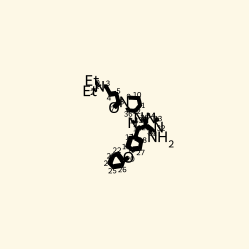 CCN(CC)C/C=C/C(=O)N1CCCC(n2nc(-c3ccc(Oc4ccccc4)cc3)c3c(N)ncnc32)C1